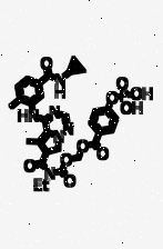 CCN(C(=O)OCOC(=O)c1ccc(OP(=O)(O)O)cc1)C(=O)C1CN2N=CN=C(Nc3cc(C(=O)NC4CC4)ccc3C)C2=C1C